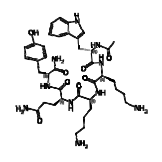 CC(=O)N[C@@H](Cc1c[nH]c2ccccc12)C(=O)N[C@@H](CCCCN)C(=O)N[C@@H](CCCCN)C(=O)N[C@@H](CCC(N)=O)C(=O)N[C@@H](Cc1ccc(O)cc1)C(N)=O